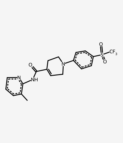 Cc1cccnc1NC(=O)C1=CCN(c2ccc(S(=O)(=O)C(F)(F)F)cc2)CC1